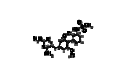 CCOc1cc(Cc2cnc(N)nc2N)cc(OCC)c1-c1cccc(NS(C)(=O)=O)c1